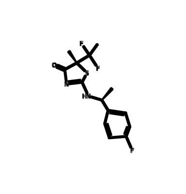 C[C@H](NC1=NC(=O)[C@](C)(C(C)(F)F)S1)c1ccc(F)cc1